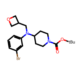 CC(C)(C)OC(=O)N1CCC(N(CC2COC2)c2cccc(Br)c2)CC1